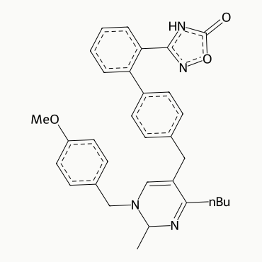 CCCCC1=NC(C)N(Cc2ccc(OC)cc2)C=C1Cc1ccc(-c2ccccc2-c2noc(=O)[nH]2)cc1